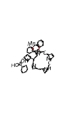 C1=Cc2cc3c(-c4ccccc4)c(-c4ccccc4)c(c(-c4ccccc4)c4nc(cc5ccc(cc1n2)[nH]5)C=C4)n3-c1ccccc1.OB(O)c1ccccc1.[Mn]